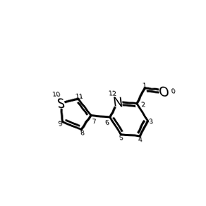 O=Cc1cccc(-c2ccsc2)n1